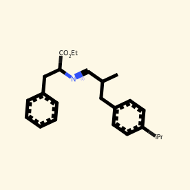 CCOC(=O)C(Cc1ccccc1)/N=C/C(C)Cc1ccc(C(C)C)cc1